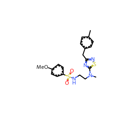 COc1ccc(S(=O)(=O)NCCN(C)c2nc(Cc3ccc(C)cc3)ns2)cc1